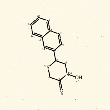 O=C1CSC(c2ccc3ccccc3c2)CN1O